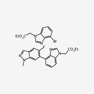 CCOC(=O)Cn1cnc2c(-c3cc4c(cnn4C)cc3F)cccc21.CCOC(=O)Cn1cnc2c(Br)cccc21